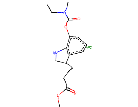 CCN(C)C(=O)Oc1cccc2c1NCC2CCC(=O)OC.Cl